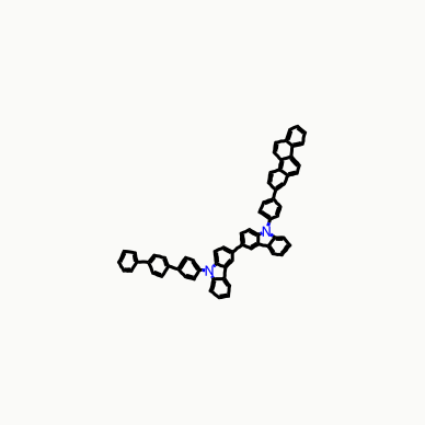 c1ccc(-c2ccc(-c3ccc(-n4c5ccccc5c5cc(-c6ccc7c(c6)c6ccccc6n7-c6ccc(-c7ccc8c(ccc9c%10ccccc%10ccc89)c7)cc6)ccc54)cc3)cc2)cc1